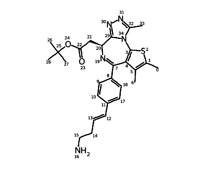 Cc1sc2c(c1C)C(c1ccc(C=CCCN)cc1)=N[C@@H](CC(=O)OC(C)(C)C)c1nnc(C)n1-2